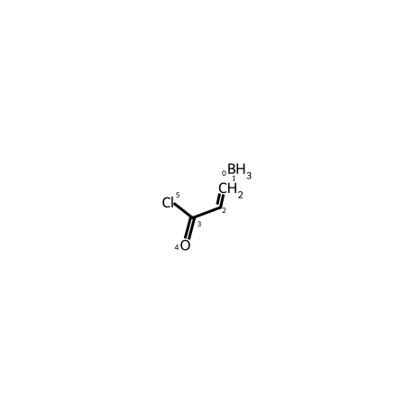 B.C=CC(=O)Cl